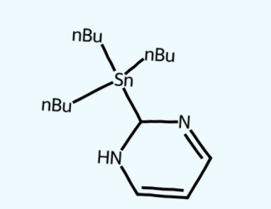 CCC[CH2][Sn]([CH2]CCC)([CH2]CCC)[CH]1N=CC=CN1